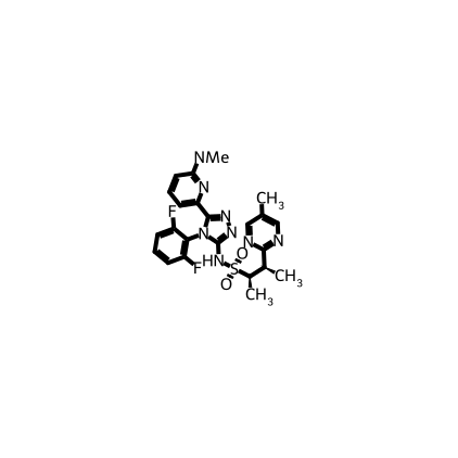 CNc1cccc(-c2nnc(NS(=O)(=O)[C@H](C)[C@H](C)c3ncc(C)cn3)n2-c2c(F)cccc2F)n1